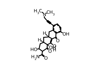 CN(C)CC#Cc1ccc(O)c2c1C[C@H]1C[C@H]3CC(O)C(C(N)=O)C(=O)[C@@]3(O)C(O)=C1C2=O